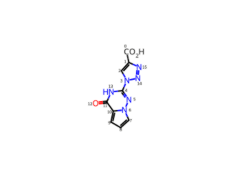 O=C(O)c1cn(-c2nn3cccc3c(=O)[nH]2)nn1